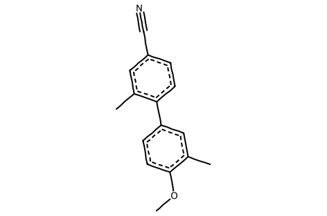 COc1ccc(-c2ccc(C#N)cc2C)cc1C